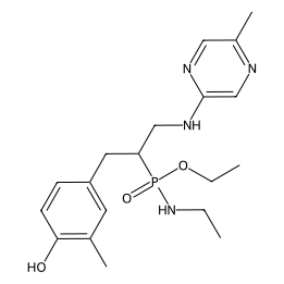 CCNP(=O)(OCC)C(CNc1cnc(C)cn1)Cc1ccc(O)c(C)c1